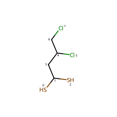 SC(S)CC(Cl)CCl